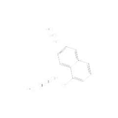 Cl.Cl.Cl.Cl.Cl.Cl.Cl.Clc1cccc2ccccc12